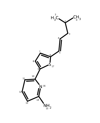 CC(C)C/C=C/c1ccc(-c2cccc(N)n2)s1